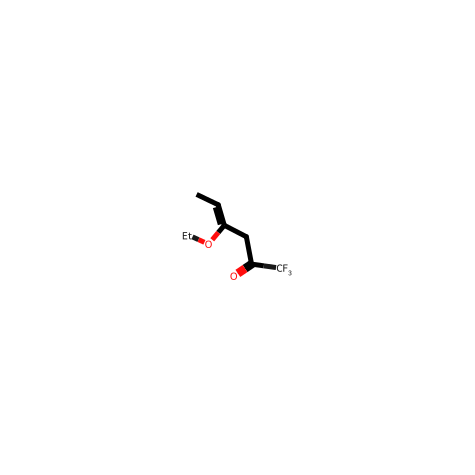 CC=C(CC(=O)C(F)(F)F)OCC